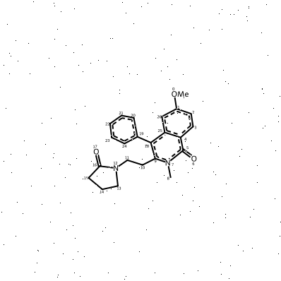 COc1ccc2c(=O)n(C)c(CCN3CCCC3=O)c(-c3ccccc3)c2c1